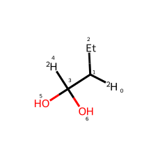 [2H]C(CC)C([2H])(O)O